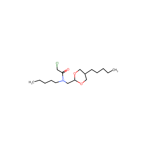 CCCCCC1COC(CN(CCCCC)C(=O)CCl)OC1